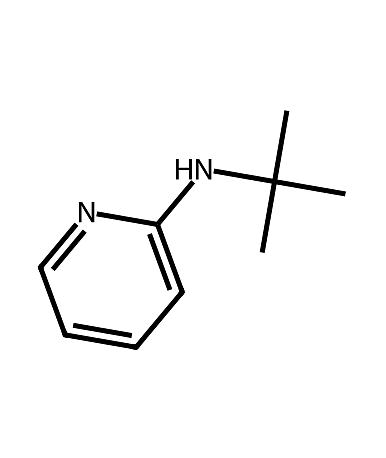 CC(C)(C)Nc1ccccn1